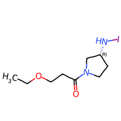 CCOCCC(=O)N1CC[C@@H](NI)C1